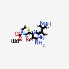 CC(C)(C)OC(=O)N1CCSC(c2nc3c(-c4cn[nH]c4)cnn3c(N)c2Br)C1